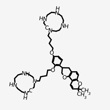 CC1(C)C=Cc2c(ccc3c2OCC(c2ccc(OCCCCN4CCNCCNCCNCC4)cc2OCCCCN2CCNCCNCCNCC2)C3)O1